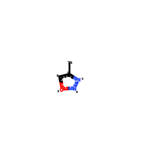 [C]c1conn1